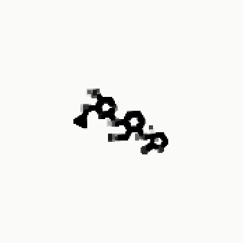 C[C@]1(Nc2cccc(Nc3ncc(C(F)(F)F)c(NC4CC4)n3)c2C=N)CCOC1=O